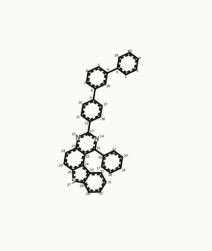 c1ccc(-c2cccc(-c3ccc(-c4nc(-c5ccccc5)c5c(ccc6sc7ccccc7c65)n4)cc3)c2)cc1